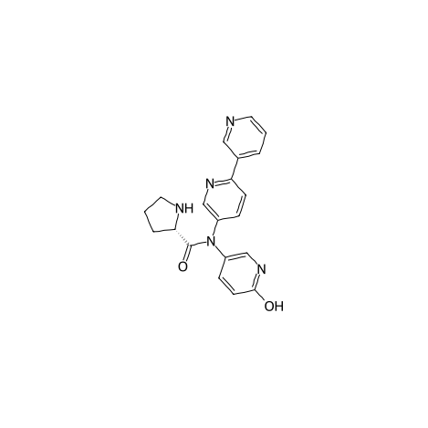 O=C([C@@H]1CCCN1)N(c1ccc(O)nc1)c1ccc(-c2cccnc2)nc1